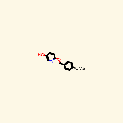 COc1ccc(COc2ccc(O)cn2)cc1